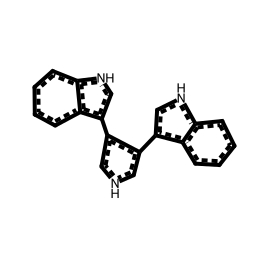 c1ccc2c(-c3c[nH]cc3-c3c[nH]c4ccccc34)c[nH]c2c1